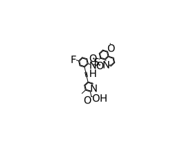 COc1ccc(S(=O)(=O)Nc2ccc(F)cc2C#Cc2cnc(C(=O)O)c(C)c2)c2ncccc12